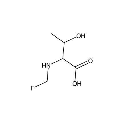 CC(O)C(NCF)C(=O)O